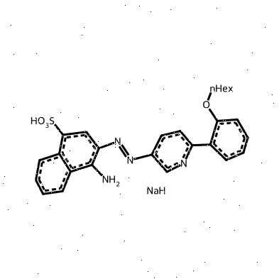 CCCCCCOc1ccccc1-c1ccc(N=Nc2cc(S(=O)(=O)O)c3ccccc3c2N)cn1.[NaH]